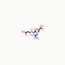 CC(N)CN(CCC(=O)O)C(C)CNCCC(=O)O